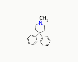 CN1CCC(c2ccccc2)(c2ccccc2)CC1